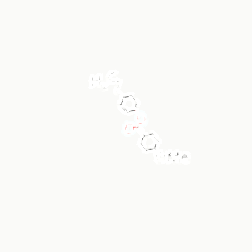 C=CCc1ccc(OC(=O)c2ccc(OC)cc2)cc1